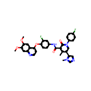 COc1cc2nccc(Oc3ccc(NC(=O)c4c(C)c(-c5cncn5C)cn(-c5ccc(F)cc5)c4=O)cc3F)c2cc1OC